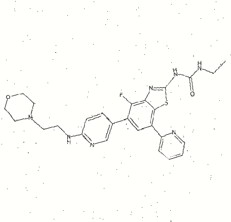 CCNC(=O)Nc1nc2c(F)c(-c3ccc(NCCN4CCOCC4)nc3)cc(-c3ccccn3)c2s1